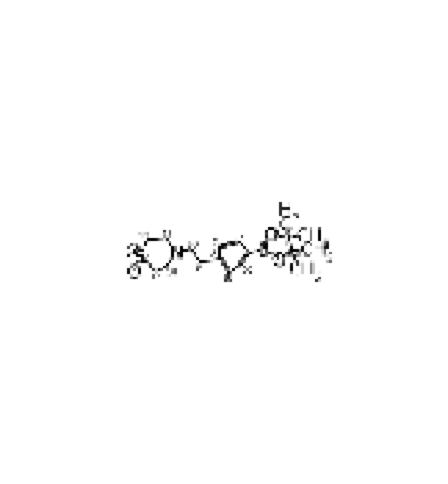 CC1(C)OB(c2ccc(CCN3CCS(=O)(=O)CC3)cc2)OC1(C)C